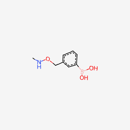 CNOCc1cccc(B(O)O)c1